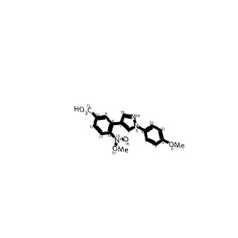 COc1ccc(-n2cc(-c3cc(C(=O)O)ccc3[N+](=O)OC)cn2)cc1